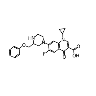 O=C(O)c1cn(C2CC2)c2cc(N3CCNC(COc4ccccc4)C3)c(F)cc2c1=O